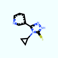 S=c1[nH]nc(-c2cccnc2)n1C1CC1